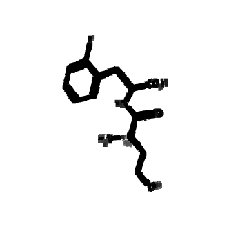 N[C@@H](CCO)C(=O)NC(Cc1ccccc1F)C(=O)O